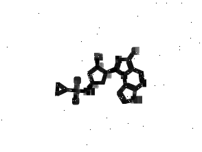 CC[C@@H]1C[C@H](NS(=O)(=O)C2CC2)C[C@@H]1c1nc(Cl)c2cnc3[nH]ccc3n12